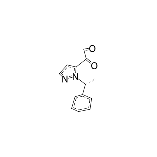 C[C@H](c1ccccc1)n1nccc1C(=O)C=O